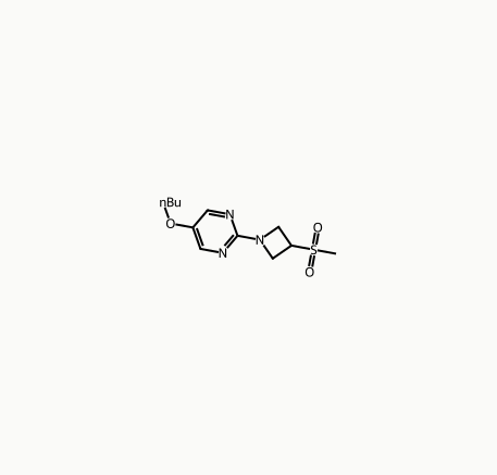 CCCCOc1cnc(N2CC(S(C)(=O)=O)C2)nc1